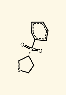 O=S(=O)(c1ccccc1)[C@@H]1CCSC1